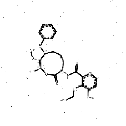 CCCO[C@H]1[C@H](C)OC(=O)[C@@H](NC(=O)c2nccc(OC)c2OCOC(C)=O)CCC[C@@H]1Oc1ccccc1